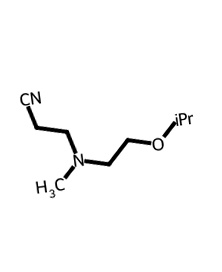 CC(C)OCCN(C)CCC#N